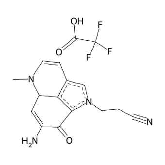 CN1C=Cc2cn(CCC#N)c3c2C1C=C(N)C3=O.O=C(O)C(F)(F)F